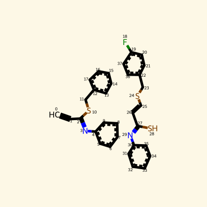 C#CC(=Nc1ccccc1)SCc1ccccc1.Fc1ccc(CSC=CC(S)=Nc2ccccc2)cc1